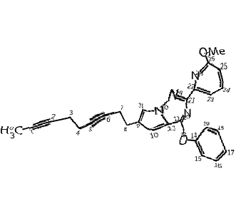 CC#CCCC#CCCc1cc2c(Oc3ccccc3)nc(-c3cccc(OC)n3)nn2c1